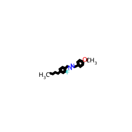 CCCCCc1ccc(C=NN=Cc2ccc(OC)cc2)c(F)c1